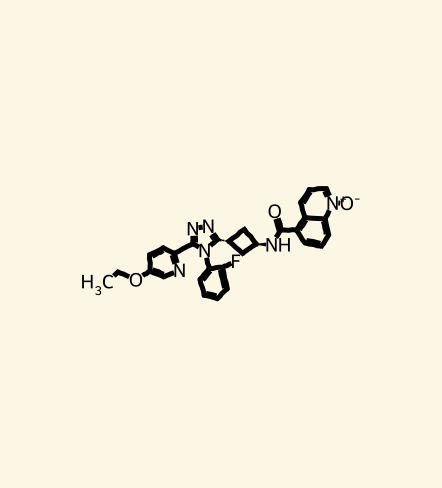 CCOc1ccc(-c2nnc([C@H]3C[C@H](NC(=O)c4cccc5c4ccc[n+]5[O-])C3)n2-c2ccccc2F)nc1